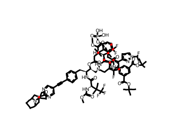 COC(=O)N[C@H](C(=O)N[C@@H](Cc1ccc(C#Cc2cnc(N3CC4CCC(C3)N4C3COC3)nc2)cc1)[C@H](CN(Cc1c(F)cc(-c2ccn(C(F)F)n2)cc1F)NC(=O)[C@@H](NC(=O)OC)C(C)(C)C(F)(F)F)OC(=O)CC(C)(C)c1c(CC(=O)Nc2cc(C(=O)OC(C)(C)C)cc(C(=O)OC(C)(C)C)c2)cccc1OP(=O)(O)O)C(C)(C)C(F)(F)F